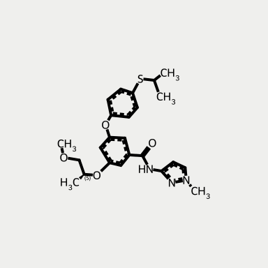 COC[C@H](C)Oc1cc(Oc2ccc(SC(C)C)cc2)cc(C(=O)Nc2ccn(C)n2)c1